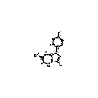 CC1=CC(c2ccc(C)cc2)c2cc(Br)ccc21